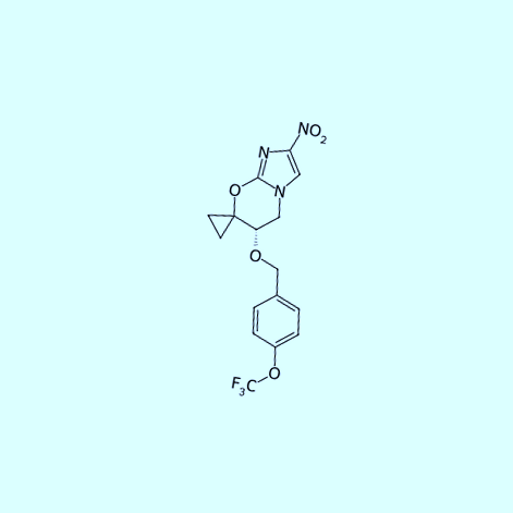 O=[N+]([O-])c1cn2c(n1)OC1(CC1)[C@@H](OCc1ccc(OC(F)(F)F)cc1)C2